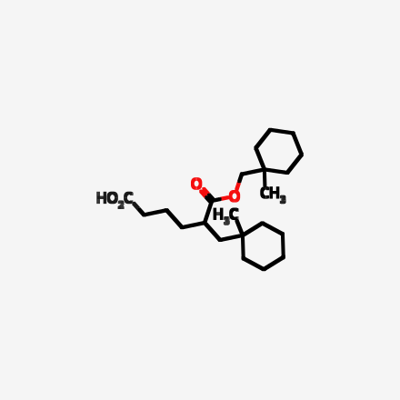 CC1(COC(=O)C(CCCC(=O)O)CC2(C)CCCCC2)CCCCC1